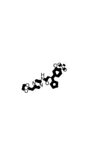 CS(=O)(=O)c1ccc([C@H](CC(=O)Nc2cnc(CC3OCCO3)cn2)C2CCCC2)cc1Cl